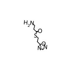 NCCC(=O)SCCc1ncno1